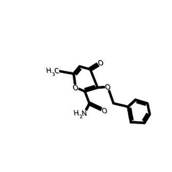 Cc1cc(=O)c(OCc2ccccc2)c(C(N)=O)o1